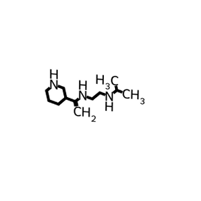 C=C(NCCNC(C)C)C1CCCNC1